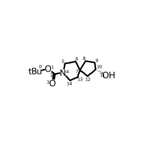 CC(C)(C)OC(=O)N1CCC2(CC[C@H](O)C2)CC1